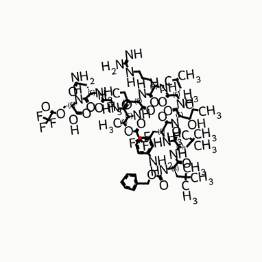 CC[C@H](C)[C@H](NC(=O)[C@@H](CCCNC(=N)N)NC(=O)[C@H](CC(C)C)NC(=O)[C@@H](NC(=O)[C@H](Cc1cccc(N)c1)NC(=O)[C@H](CC(C)(C)C)NC(=O)[C@@H](CC(C)(C)C)NC(=O)OCc1ccccc1)C(O)C(C)C)C(=O)N[C@H](C(=O)NCC(=O)N[C@@H](CC(N)=O)C(=O)N[C@@H](COC(=O)C(F)(F)F)C(=O)O)[C@H](C)OC(=O)C(F)(F)F